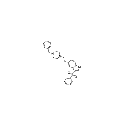 O=S(=O)(c1ccccc1)c1c[nH]c2ccc(CCN3CCN(Cc4ccccc4)CC3)cc12